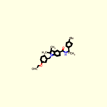 Cc1c(C)n(Cc2cccc(OCC=O)c2)c2ccc(C(=O)N[C@@H](C)c3ccc(C(C)(C)C)cc3)cc12